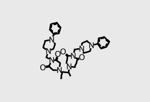 CC(C(C)N1CC(=O)N(CN2CCN(c3ccccc3)CC2)C(=O)C1)N1CC(=O)N(CN2CCN(c3ccccc3)CC2)C(=O)C1